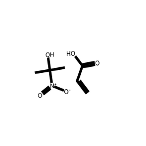 C=CC(=O)O.CC(C)(O)[N+](=O)[O-]